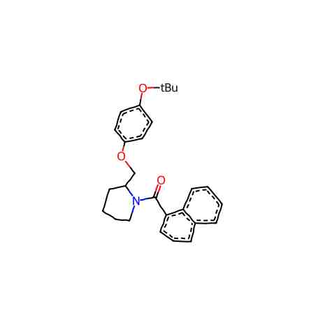 CC(C)(C)Oc1ccc(OCC2CCCCN2C(=O)c2cccc3ccccc23)cc1